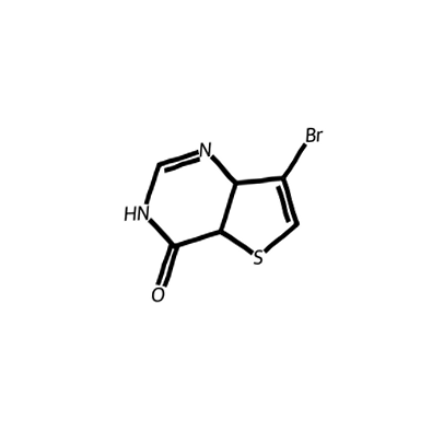 O=C1NC=NC2C(Br)=CSC12